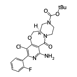 CC(C)(C)OC(=O)N1CCN2C(=O)c3c(N)nc(-c4ccccc4F)c(Cl)c3OC[C@H]2C1